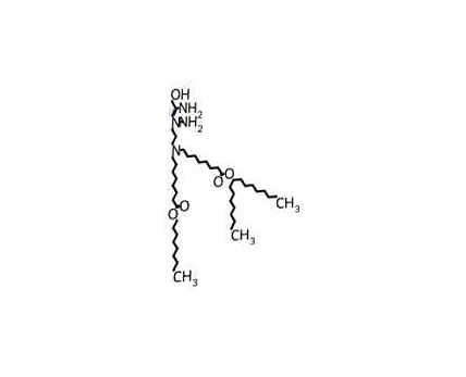 CCCCCCCCCOC(=O)CCCCCCCN(CCCCCCCC(=O)OC(CCCCCCCC)CCCCCCCC)CCCN(N)/C=C(\N)CO